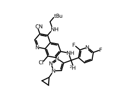 [2H]C(Nc1cc(Cl)c2ncc(C#N)c(NCC(C)(C)C)c2c1)(c1cn(C2CC2)nn1)c1ccc(F)nc1F